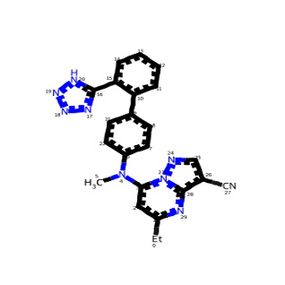 CCc1cc(N(C)c2ccc(-c3ccccc3-c3nnn[nH]3)cc2)n2ncc(C#N)c2n1